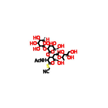 CC(=O)NC1C(O[C@@H]2O[C@@H](CO)C(O)C(O)C2O[C@@H]2O[C@@H](C)C(O)C(O)C2O)C(C[C@@H](C)OC(C)C(O)[C@H](O)CO)[C@H](CO)O[C@H]1SCC#N